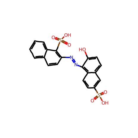 O=S(=O)(O)c1ccc2c(N=Nc3ccc4ccccc4c3S(=O)(=O)O)c(O)ccc2c1